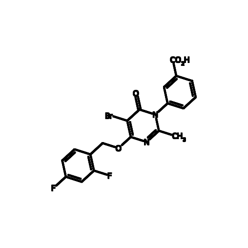 Cc1nc(OCc2ccc(F)cc2F)c(Br)c(=O)n1-c1cccc(C(=O)O)c1